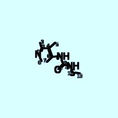 C/N=C(C)\C(C)=C(/C)NC(=O)NSC